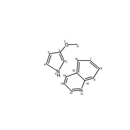 COc1cc[nH]c1.c1ccc2ncccc2c1